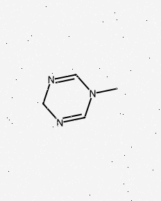 CN1C=NCN=C1